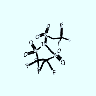 O=[S](=O)([Ti]([S](=O)(=O)C(F)(F)F)[S](=O)(=O)C(F)(F)F)C(F)(F)F